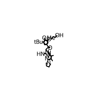 COc1c(OCCCO)cc(C(=O)Cn2nc3c(C)c(C)c(N4CCCC4)nn3c2=N)cc1C(C)(C)C